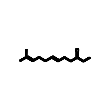 CCC(=O)CCC=CCCC=C(C)C